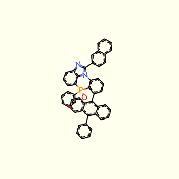 O=P1(c2ccccc2)c2c(-c3c4ccccc4c(-c4ccccc4)c4ccccc34)cccc2-n2c(-c3ccc4ccccc4c3)nc3cccc1c32